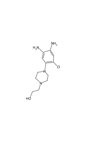 Nc1cc(Cl)c(N2CCN(CCO)CC2)cc1N